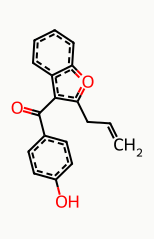 C=CCc1oc2ccccc2c1C(=O)c1ccc(O)cc1